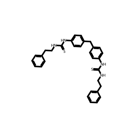 S=C(NCCc1ccccc1)Nc1ccc(Cc2ccc(NC(=S)NCCc3ccccc3)cc2)cc1